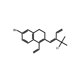 C=CC1=C(/C=C(\C=C)C(C)(C)CC)CCc2cc(C(C)(C)C)ccc21